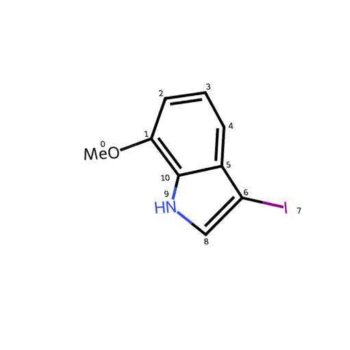 COc1cccc2c(I)c[nH]c12